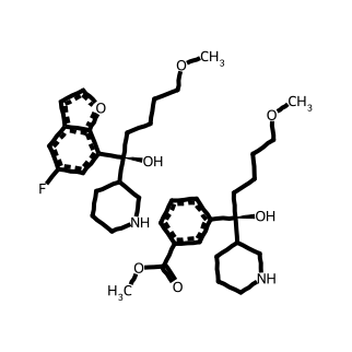 COCCCC[C@@](O)(c1cc(F)cc2ccoc12)C1CCCNC1.COCCCC[C@@](O)(c1cccc(C(=O)OC)c1)C1CCCNC1